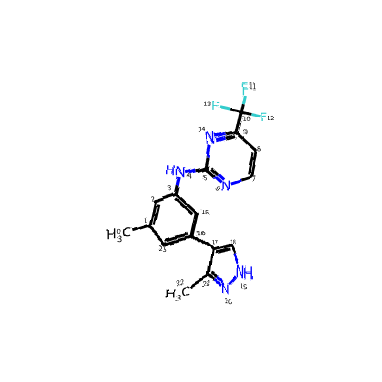 Cc1cc(Nc2nccc(C(F)(F)F)n2)cc(-c2c[nH]nc2C)c1